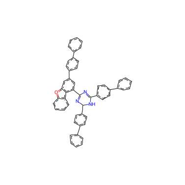 c1ccc(-c2ccc(C3=NC(c4cc(-c5ccc(-c6ccccc6)cc5)cc5oc6ccccc6c45)=NC(c4ccc(-c5ccccc5)cc4)N3)cc2)cc1